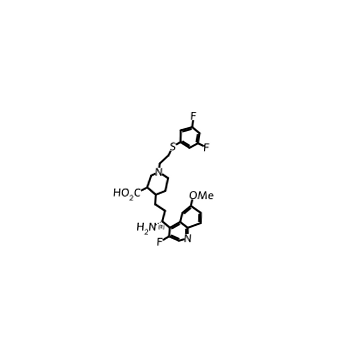 COc1ccc2ncc(F)c([C@H](N)CCC3CCN(CCSc4cc(F)cc(F)c4)CC3C(=O)O)c2c1